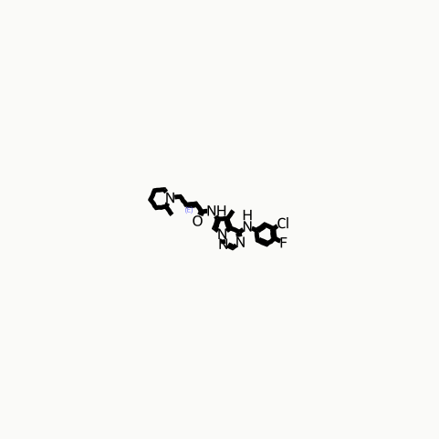 Cc1c(NC(=O)/C=C/CN2CCCCC2C)cn2ncnc(Nc3ccc(F)c(Cl)c3)c12